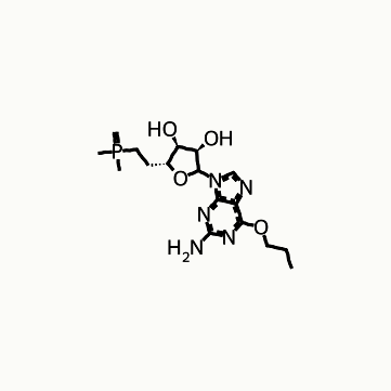 C=P(C)(C)CC[C@H]1OC(n2cnc3c(OCCC)nc(N)nc32)[C@H](O)[C@@H]1O